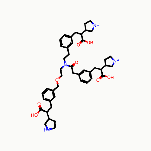 O=C(O)C(Cc1cccc(CCN(CCOCc2cccc(CC(C(=O)O)C3CCNC3)c2)C(=O)Cc2cccc(CC(C(=O)O)C3CCNC3)c2)c1)C1CCNC1